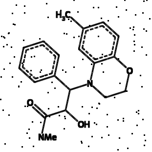 CNC(=O)C(O)C(c1ccccc1)N1CCOc2ccc(C)cc21